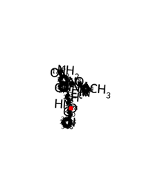 CCn1nc(C)cc1C(=O)Nc1nc2cc(C(N)=O)cc3c2n1[C@@H](/C=C/CNC(=O)OCc1ccccn1)CO3